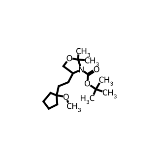 COC1(CCC2COC(C)(C)N2C(=O)OC(C)(C)C)CCCC1